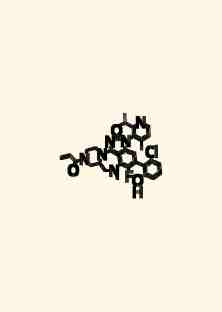 C=CC(=O)N1CCN2c3nc(=O)n(-c4c(C)ccnc4C(C)C)c4cc(-c5c(O)cccc5Cl)c(F)c(c34)N(C)CC2C1